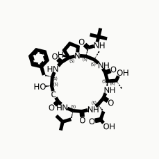 CC(C)C[C@@H]1NC(=O)C[C@H](O)[C@H](Cc2ccccc2)NC(=O)[C@@H]2CCCN2[C@H](C(=O)NC(C)(C)C)[C@H](C)NC(=O)[C@H]([C@@H](C)O)NC(=O)[C@H](CC(=O)O)NC1=O